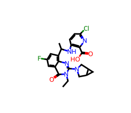 CCn1c(N2CC3CC3C2)nc2c(C(C)Nc3ccc(Cl)nc3C(=O)O)cc(F)cc2c1=O